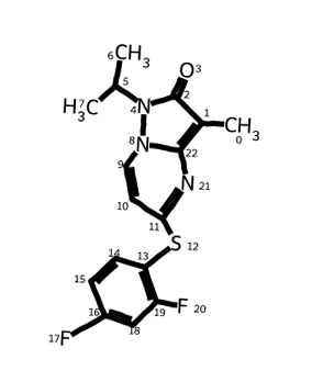 Cc1c(=O)n(C(C)C)n2ccc(Sc3ccc(F)cc3F)nc12